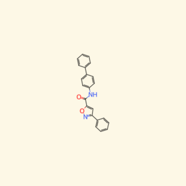 O=C(Nc1ccc(-c2ccccc2)cc1)c1cc(-c2ccccc2)no1